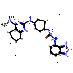 CN(C)c1nc(NC2CCC(NC(=S)Nc3cccc4nsnc34)CC2)nc2c1CCCC2